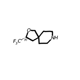 FC(F)(F)[C@H]1CC2(CCNCC2)CO1